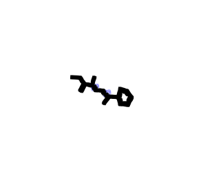 C=C(CC)/C(C)=C/C=C(\C)c1ccccc1